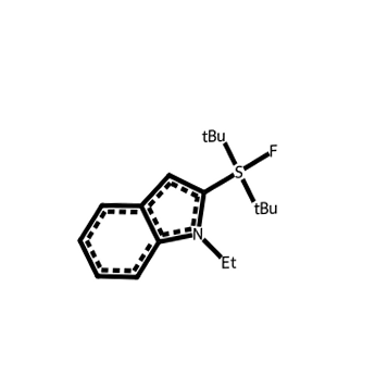 CCn1c(S(F)(C(C)(C)C)C(C)(C)C)cc2ccccc21